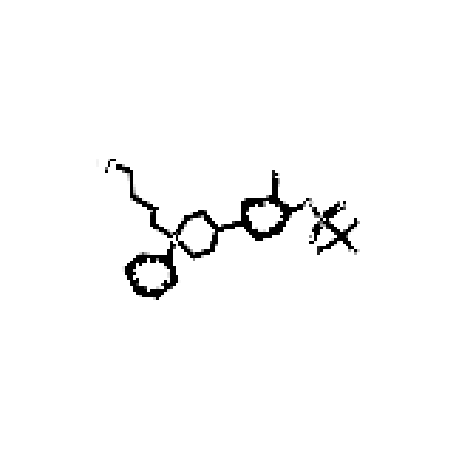 CCCCC[Si]1(c2ccccc2)CCC(c2ccc(OS(=O)(=O)C(F)(F)F)c(F)c2)CC1